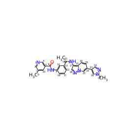 Cc1cncc(C(=O)Nc2cccc([C@H](C)Nc3cnn4cc(-c5cnn(C)c5)ccc34)c2)c1